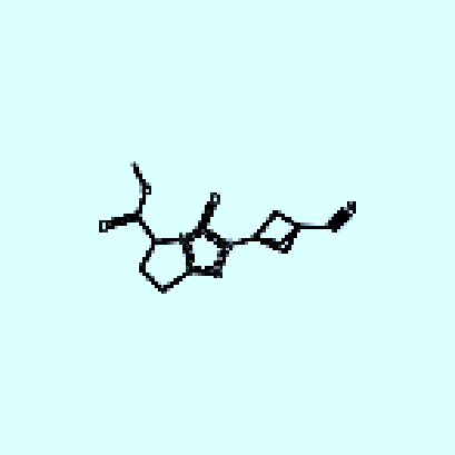 COC(=O)C1CCc2nn(C34CC(C#N)(C3)C4)c(=O)n21